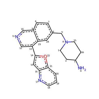 NC1CCN(Cc2ccc3cncc(-c4cc5ncccc5o4)c3c2)CC1